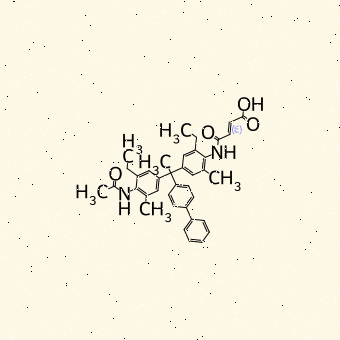 CCc1cc(C(C)(c2ccc(-c3ccccc3)cc2)c2cc(C)c(NC(=O)/C=C/C(=O)O)c(CC)c2)cc(C)c1NC(C)=O